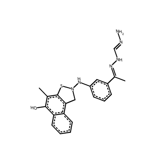 CC(=NNC=NN)c1cccc(NN2Cc3c(c(C)c(O)c4ccccc34)S2)c1